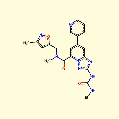 CCNC(=O)Nc1nc2cc(-c3cccnc3)cc(C(=O)N(C)Cc3cc(C)no3)n2n1